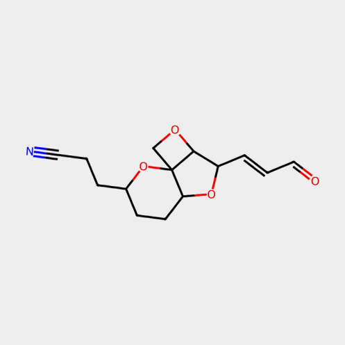 N#CCCC1CCC2OC(/C=C/C=O)C3OCC23O1